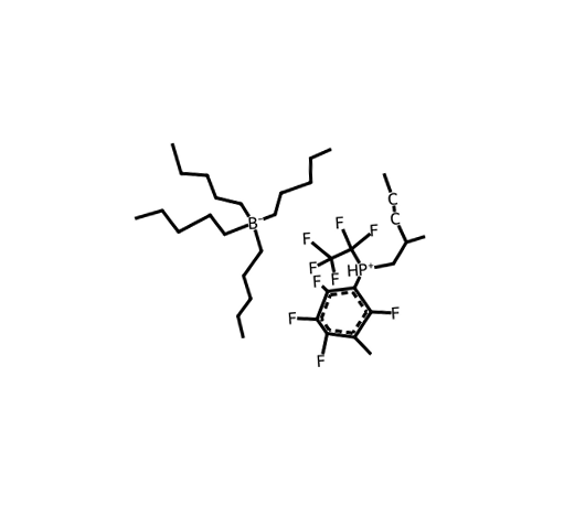 CCCC(C)C[PH+](c1c(F)c(C)c(F)c(F)c1F)C(F)(F)C(F)(F)F.CCCCC[B-](CCCCC)(CCCCC)CCCCC